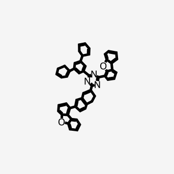 C1=CCCC(c2cc(-c3nc(C4=Cc5cc(-c6cccc7oc8ccccc8c67)ccc5CC4)nc(-c4cccc5c4oc4ccccc45)n3)cc(C3C=CC=CC3)c2)=C1